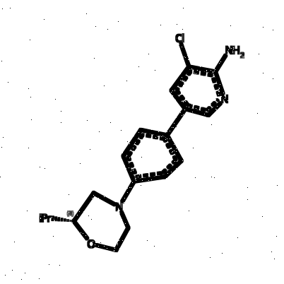 CC(C)[C@@H]1CN(c2ccc(-c3cnc(N)c(Cl)c3)cc2)CCO1